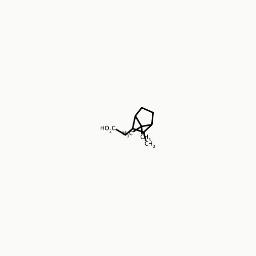 CC1C(CC(=O)O)C2CCC1C2(C)C